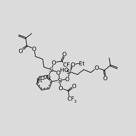 C=C(C)C(=O)OCCC[Si](O)(OCC)O[Si](OC(=O)C(F)(F)F)(O[Si](CCCOC(=O)C(=C)C)(OCC)OC(=O)C(F)(F)F)c1ccccc1